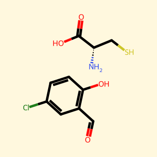 N[C@@H](CS)C(=O)O.O=Cc1cc(Cl)ccc1O